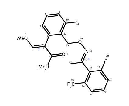 CO/C=C(/C(=O)OC)c1cccc(C)c1CO/N=C(\C)c1c(F)cccc1C(F)(F)F